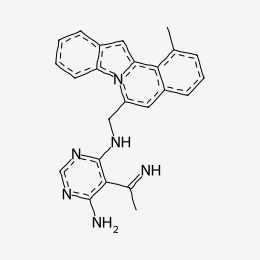 CC(=N)c1c(N)ncnc1NCc1cc2cccc(C)c2c2cc3ccccc3n12